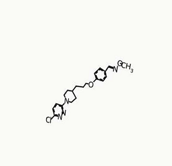 CON=Cc1ccc(OCCCC2CCN(c3ccc(Cl)nn3)CC2)cc1